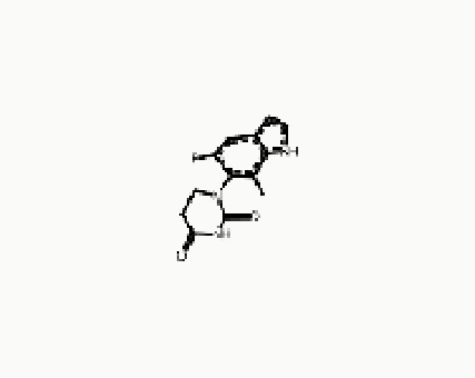 Cc1c(N2CCC(=O)NC2=O)c(F)cc2cc[nH]c12